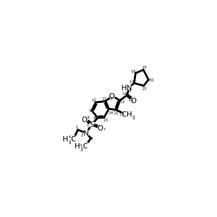 CCN(CC)S(=O)(=O)c1ccc2oc(C(=O)NC3CCCC3)c(C)c2c1